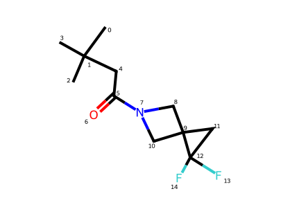 CC(C)(C)CC(=O)N1CC2(C1)CC2(F)F